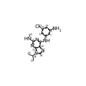 CNc1nc(Nc2cc(N)cc(Cl)c2)c2ncn(C(C)C)c2n1